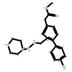 COC(=O)Cc1ccc(-c2ccc(Cl)cc2)c(COON2CCSCC2)c1